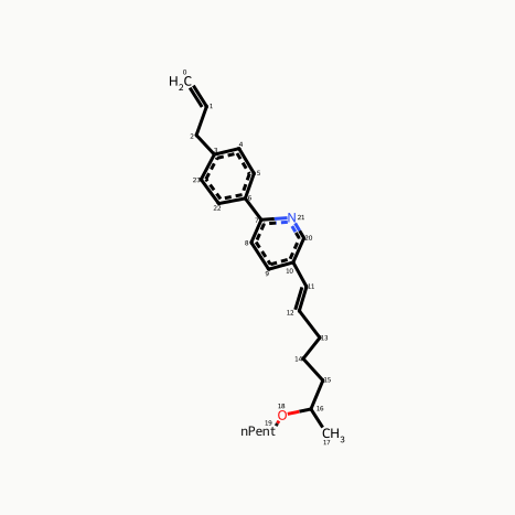 C=CCc1ccc(-c2ccc(/C=C/CCCC(C)OCCCCC)cn2)cc1